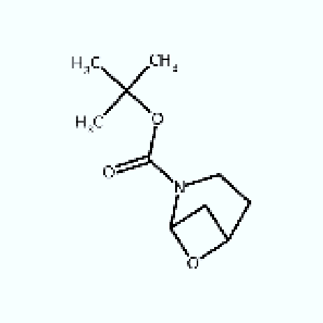 CC(C)(C)OC(=O)N1CCC2CC1O2